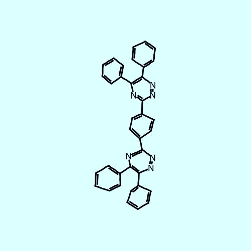 c1ccc(-c2nnc(-c3ccc(-c4nnc(-c5ccccc5)c(-c5ccccc5)n4)cc3)nc2-c2ccccc2)cc1